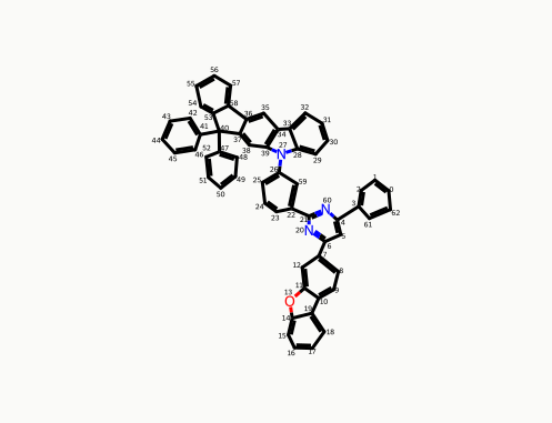 c1ccc(-c2cc(-c3ccc4c(c3)oc3ccccc34)nc(-c3cccc(-n4c5ccccc5c5cc6c(cc54)C(c4ccccc4)(c4ccccc4)c4ccccc4-6)c3)n2)cc1